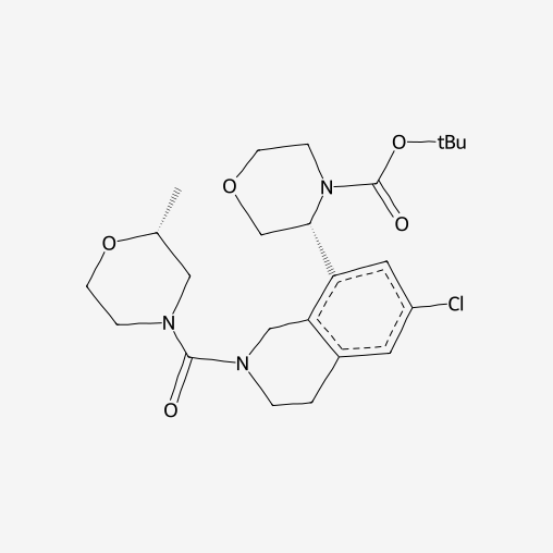 C[C@@H]1CN(C(=O)N2CCc3cc(Cl)cc([C@@H]4COCCN4C(=O)OC(C)(C)C)c3C2)CCO1